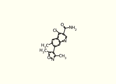 Cc1cc2c(Cl)c(C(N)=O)cnc2cc1-c1c(C)noc1C